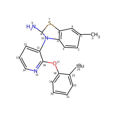 Cc1ccc2c(c1)SC(N)N2c1cccnc1Oc1ccccc1C(C)(C)C